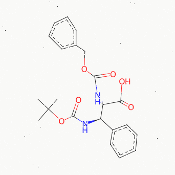 CC(C)(C)OC(=O)N[C@H](c1ccccc1)[C@H](NC(=O)OCc1ccccc1)C(=O)O